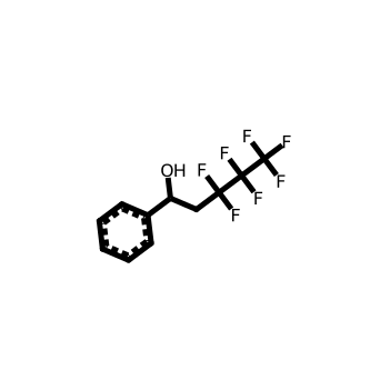 OC(CC(F)(F)C(F)(F)C(F)(F)F)c1ccccc1